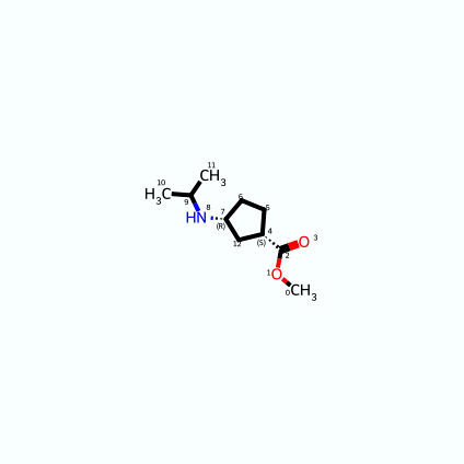 COC(=O)[C@H]1CC[C@@H](NC(C)C)C1